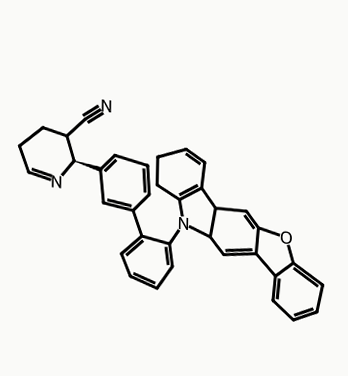 N#CC1CCC=N[C@@H]1c1cccc(-c2ccccc2N2C3=C(C=CCC3)C3C=c4oc5ccccc5c4=CC32)c1